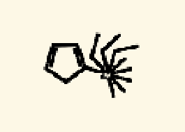 C[CH2][Zr]([CH3])([CH3])([CH3])([CH3])([CH3])([CH2]C)([CH2]C)[C]1=CC=CC1